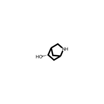 O[C@H]1CC2CC1CN2